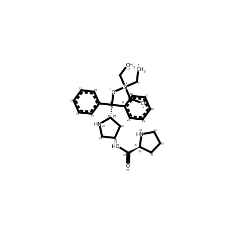 CC[Si](CC)(CC)OC(c1ccccc1)(c1ccccc1)[C@@H]1CCCN1.O=C(O)[C@@H]1CCCN1